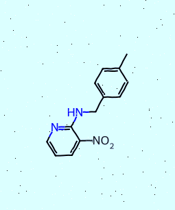 Cc1ccc(CNc2ncccc2[N+](=O)[O-])cc1